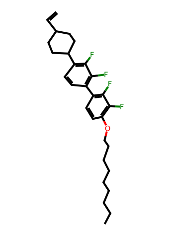 C=CC1CCC(c2ccc(-c3ccc(OCCCCCCCCC)c(F)c3F)c(F)c2F)CC1